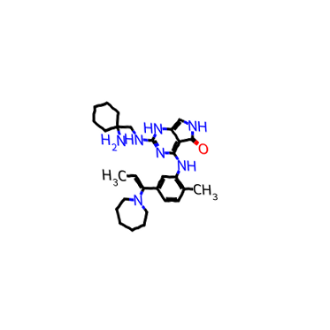 CC=C(c1ccc(C)c(Nc2nc(NCC3(N)CCCCC3)[nH]c3c[nH]c(=O)c2-3)c1)N1CCCCCC1